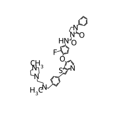 CN1CCN(CCN(C)Cc2ccc(-c3cc4nccc(Oc5ccc(NC(=O)N6CCN(c7ccccc7)C6=O)cc5F)c4s3)cc2)CC1